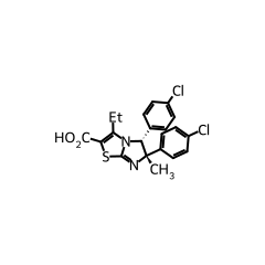 CCC1=C(C(=O)O)SC2=N[C@@](C)(c3ccc(Cl)cc3)[C@@H](c3ccc(Cl)cc3)N21